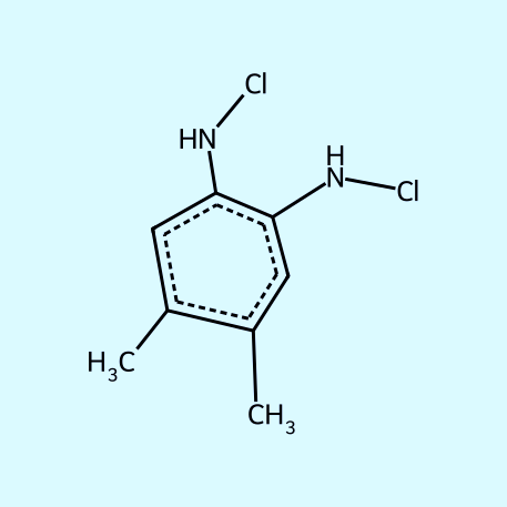 Cc1cc(NCl)c(NCl)cc1C